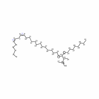 CCCCC/C=C\C/C=C\CCCCCCCCCCCCOC(OCCCCCCCC)C(C)N(C)C